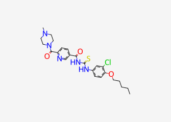 CCCCCOc1ccc(NC(=S)NC(=O)c2ccc(C(=O)N3CCN(C)CC3)nc2)cc1Cl